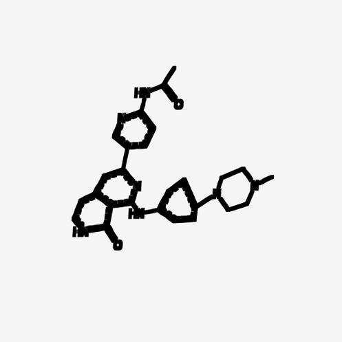 CC(=O)Nc1ccc(-c2cc3cc[nH]c(=O)c3c(Nc3ccc(N4CCN(C)CC4)cc3)n2)cn1